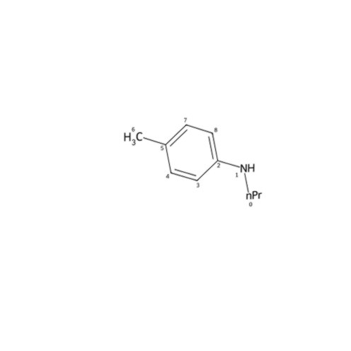 [CH2]CCNc1ccc(C)cc1